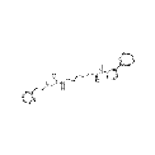 O=C(CSCCc1ccccn1)NCCCCCC(=O)Nc1cccc(-c2ccccc2)c1